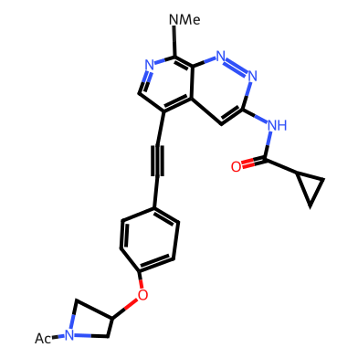 CNc1ncc(C#Cc2ccc(OC3CN(C(C)=O)C3)cc2)c2cc(NC(=O)C3CC3)nnc12